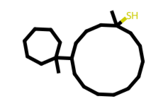 CC1(S)CCCCCCCCCC(C2(C)CCCCCC2)CCC1